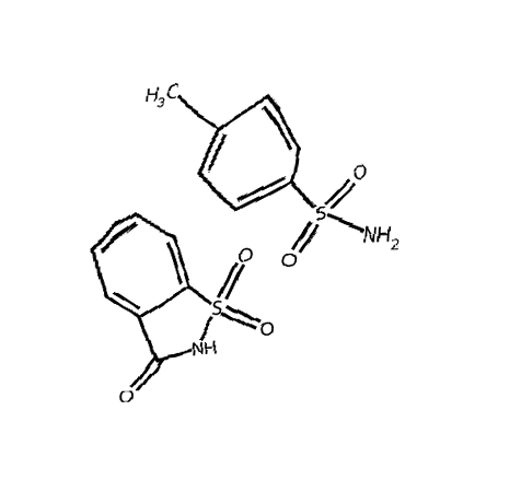 Cc1ccc(S(N)(=O)=O)cc1.O=C1NS(=O)(=O)c2ccccc21